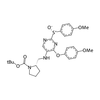 COc1ccc(Oc2nc([S@+]([O-])c3ccc(OC)cc3)ncc2NC[C@@H]2CCCN2C(=O)OC(C)(C)C)cc1